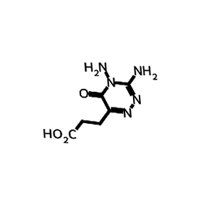 Nc1nnc(CCC(=O)O)c(=O)n1N